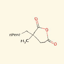 CCCCCCC1(C)CC(=O)OC1=O